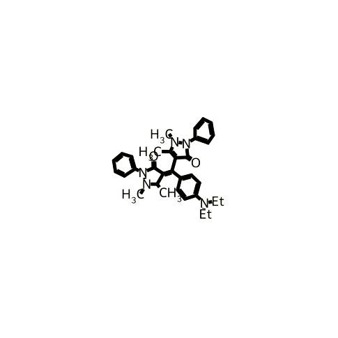 CCN(CC)c1ccc(/C(=C2/C(=O)N(c3ccccc3)N(C)C2C)c2c(C)n(C)n(-c3ccccc3)c2=O)cc1